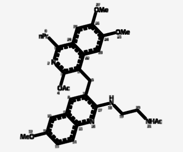 CCCc1nc(OC(C)=O)c(Cc2cc3cc(OC)ccc3nc2NCCNC(C)=O)c2cc(OC)c(OC)cc12